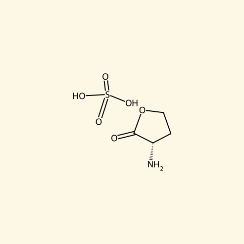 N[C@H]1CCOC1=O.O=S(=O)(O)O